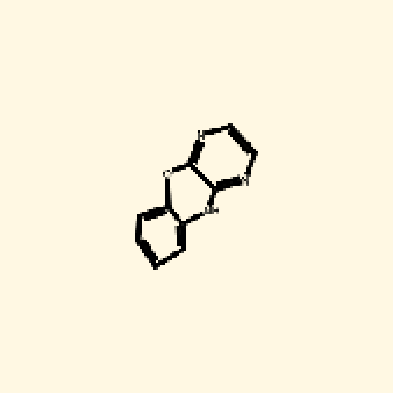 c1ccc2c(c1)Nc1nccnc1O2